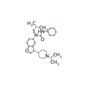 CC(C)SN(C(=O)Nc1ccccc1)c1ccc2occ(C3CCN(C(C)C)CC3)c2c1